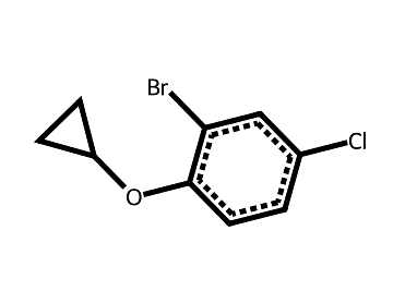 Clc1ccc(OC2CC2)c(Br)c1